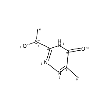 Cc1nnc([S+](C)[O-])[nH]c1=O